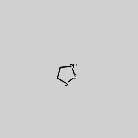 C1CSSP1